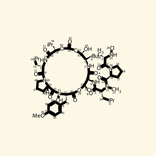 CC[C@H](C)[C@H]1NC(=O)[C@@H](NC(=O)[C@@H](CC(C)C)N(C)C(=O)[C@@H]2CCCN2C(=O)[C@H](C)NCl)[C@@H](C)OC(=O)[C@H](Cc2ccc(OC)cc2)N(C)C(=O)[C@@H]2CCCN2C(=O)[C@H](CC(C)C)NC(=O)[C@H](C(C)C)OC(=O)C[C@@H]1O